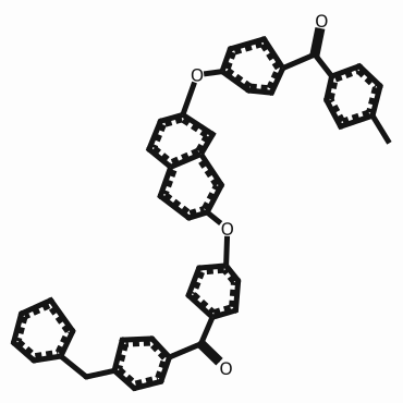 Cc1ccc(C(=O)c2ccc(Oc3ccc4ccc(Oc5ccc(C(=O)c6ccc(Cc7ccccc7)cc6)cc5)cc4c3)cc2)cc1